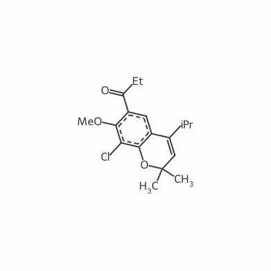 CCC(=O)c1cc2c(c(Cl)c1OC)OC(C)(C)C=C2C(C)C